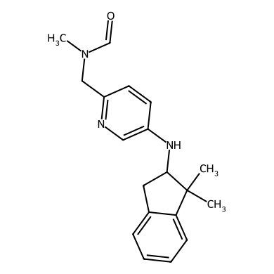 CN(C=O)Cc1ccc(NC2Cc3ccccc3C2(C)C)cn1